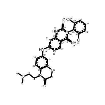 CN(C)CCN1C(=O)COc2cc(Nc3ncc4c(=N)n(-c5c(Cl)cccc5Cl)c(=O)[nH]c4n3)ccc21